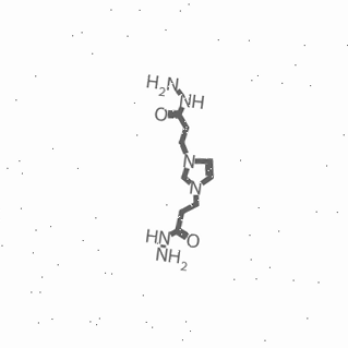 NNC(=O)CCN1C=CN(CCC(=O)NN)C1